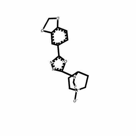 [O-][N+]12CCC(CC1)N(c1nnc(-c3ccc4c(c3)OCO4)o1)CC2